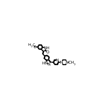 COc1ccc2c(c1)/C(=C/c1ccc3c(-c4ccc(N5CCN(C)CC5)nc4)n[nH]c3c1)C(=O)N2